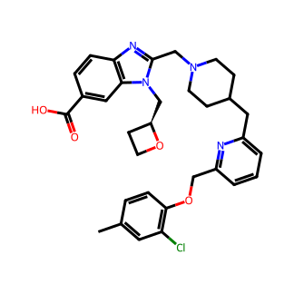 Cc1ccc(OCc2cccc(CC3CCN(Cc4nc5ccc(C(=O)O)cc5n4C[C@@H]4CCO4)CC3)n2)c(Cl)c1